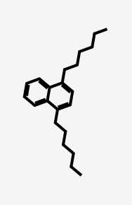 CCCCCCc1ccc(CCCCCC)c2ccccc12